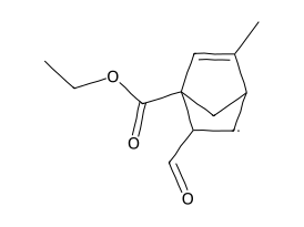 CCOC(=O)C12C=C(C)C([CH]C1C=O)C2